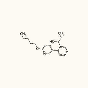 CCCCCOc1ccc(-c2ccccc2C(O)CC)cn1